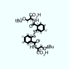 CC(C)(C)OCC(NC(=O)c1ccccc1SSc1ccccc1C(=O)NC(COC(C)(C)C)C(=O)O)C(=O)O